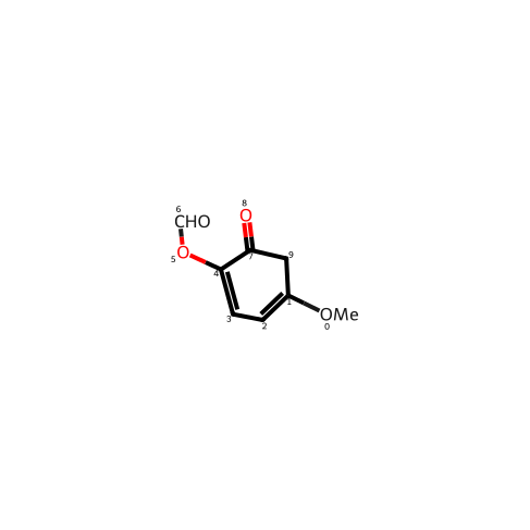 COC1=CC=C(OC=O)C(=O)C1